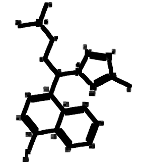 Cc1nnn(C(CCN(C)C)c2ccc(F)c3ccccc23)n1